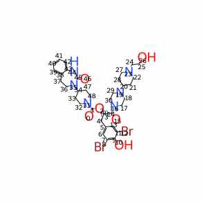 O=C(O[C@H](Cc1cc(Br)c(O)c(Br)c1)C(=O)N1CCN(C2CCN(CCO)CC2)CC1)N1CCC(N2CCc3ccccc3NC2=O)CC1